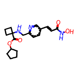 O=C(/C=C/c1ccc(CNC2(C(=O)OC3CCCC3)CCC2)nc1)NO